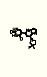 C[C@]1(F)CCN(c2cc(-c3c[nH]c(=O)[nH]c3=O)nn3ccnc23)C1